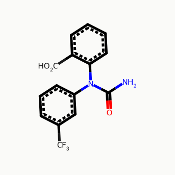 NC(=O)N(c1cccc(C(F)(F)F)c1)c1ccccc1C(=O)O